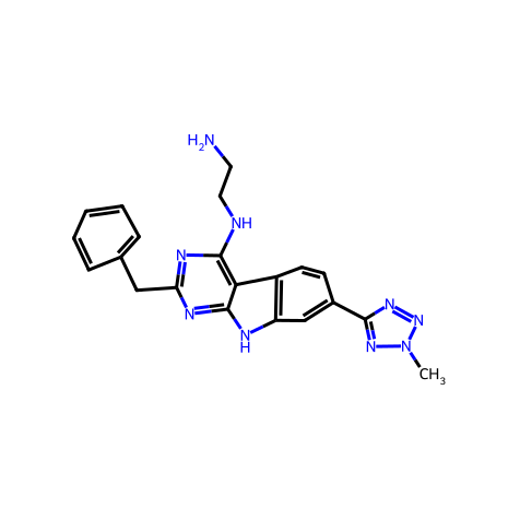 Cn1nnc(-c2ccc3c(c2)[nH]c2nc(Cc4ccccc4)nc(NCCN)c23)n1